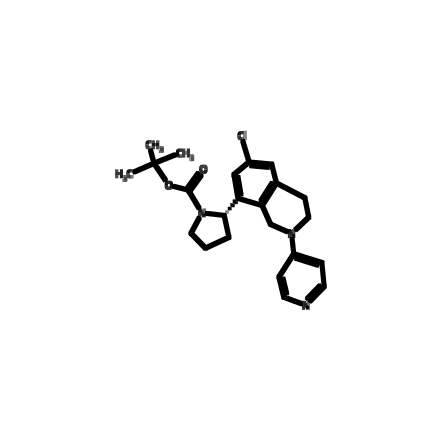 CC(C)(C)OC(=O)N1CCC[C@H]1c1cc(Cl)cc2c1CN(c1ccncc1)CC2